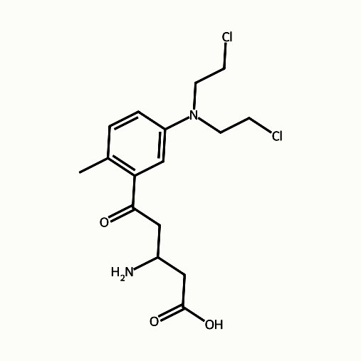 Cc1ccc(N(CCCl)CCCl)cc1C(=O)CC(N)CC(=O)O